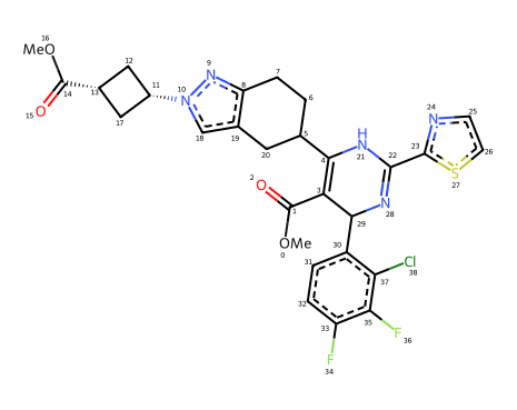 COC(=O)C1=C(C2CCc3nn([C@H]4C[C@@H](C(=O)OC)C4)cc3C2)NC(c2nccs2)=NC1c1ccc(F)c(F)c1Cl